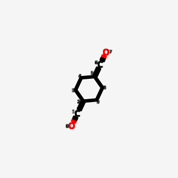 O=C=C1CCC(=C=O)CC1